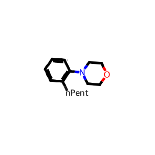 CCCCCc1ccc[c]c1N1CCOCC1